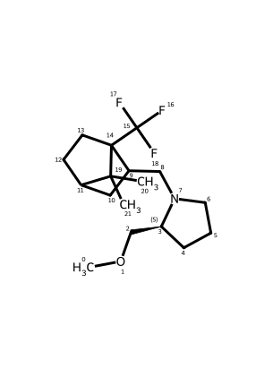 COC[C@@H]1CCCN1CC1CC2CCC1(C(F)(F)F)C2(C)C